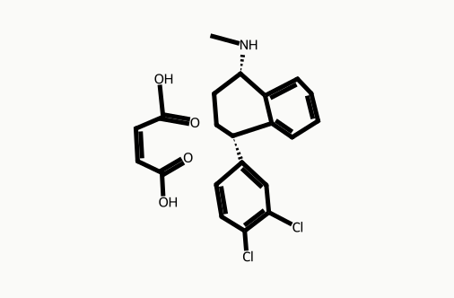 CN[C@H]1CC[C@@H](c2ccc(Cl)c(Cl)c2)c2ccccc21.O=C(O)/C=C\C(=O)O